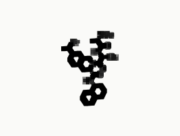 CN[C@@H](C)C(=O)N[C@H](C(=O)N1Cc2cc(C(C)C(C)C)ccc2C[C@H]1C(=O)N[C@@H]1CCCc2ccccc21)C(C)(C)C